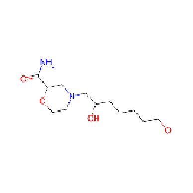 NC(=O)C1CN(CC(O)CCCCC[O])CCO1